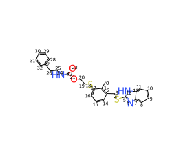 Cc1c(CSc2nc3ccccc3[nH]2)cccc1SCCOC(=O)NCCc1ccccc1